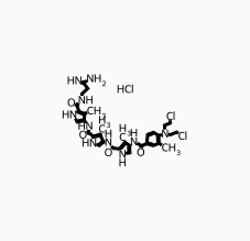 Cc1cc(C(=O)Nc2c[nH]c(C(=O)Nc3c[nH]c(C(=O)Nc4c[nH]c(C(=O)NCCC(=N)N)c4C)c3C)c2C)ccc1N(CCCl)CCCl.Cl